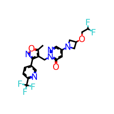 Cc1onc(-c2ccc(C(F)(F)F)nc2)c1Cn1ncc(N2CC(OCC(F)F)C2)cc1=O